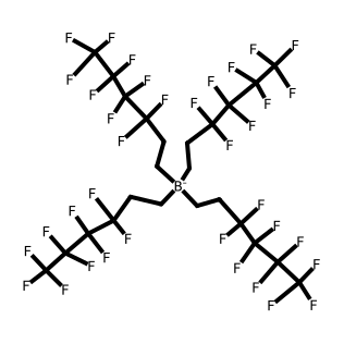 FC(F)(F)C(F)(F)C(F)(F)C(F)(F)CC[B-](CCC(F)(F)C(F)(F)C(F)(F)C(F)(F)F)(CCC(F)(F)C(F)(F)C(F)(F)C(F)(F)F)CCC(F)(F)C(F)(F)C(F)(F)C(F)(F)F